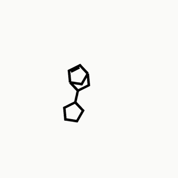 C1=CC2CC1CC2C1CCCC1